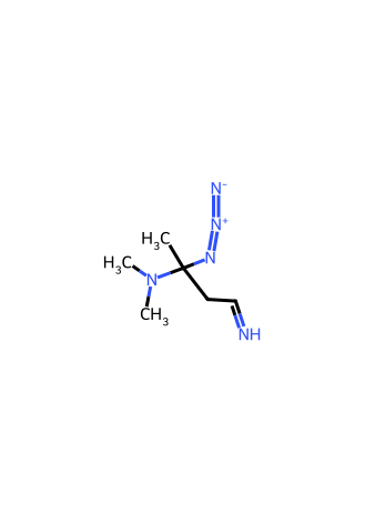 CN(C)C(C)(CC=N)N=[N+]=[N-]